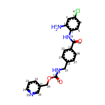 Nc1cc(Cl)ccc1NC(=O)c1ccc(CNC(=O)OCc2cccnc2)cc1